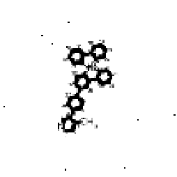 Cc1ccncc1-c1ccc(-c2ccc3c(c2)-c2ccccc2B2c4ccccc4-c4ccccc4N23)cc1